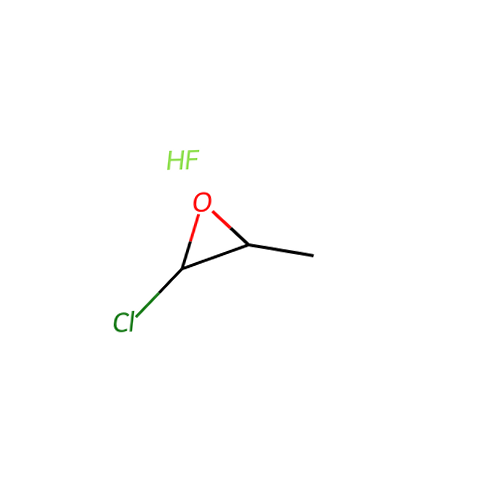 CC1OC1Cl.F